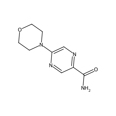 NC(=O)c1cnc(N2CCOCC2)cn1